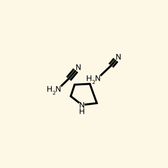 C1CCNC1.N#CN.N#CN